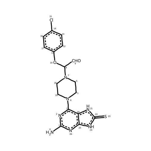 Nc1nc(N2CCN(C(C=O)Oc3ccc(Cl)cc3)CC2)c2[nH]c(=S)[nH]c2n1